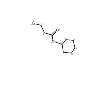 CC(=O)CCC(=O)OC1CCCCC1